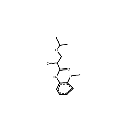 COc1ccccc1NC(=O)C(Cl)COC(C)C